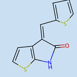 O=C1Nc2sccc2C1=Cc1cccs1